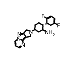 NC1CC(N2Cc3nn4cccnc4c3C2)CCC1[C@H]1CC(F)=CC=C1F